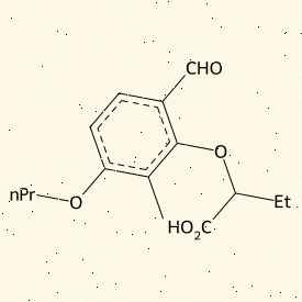 CCCOc1ccc(C=O)c(OC(CC)C(=O)O)c1C